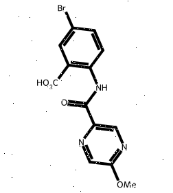 COc1cnc(C(=O)Nc2ccc(Br)cc2C(=O)O)cn1